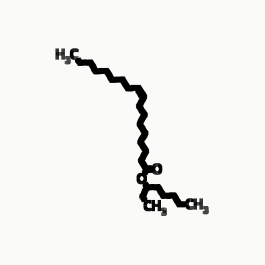 CCCCCCCC/C=C\CCCCCCCC(=O)OC(CC)CCCCC